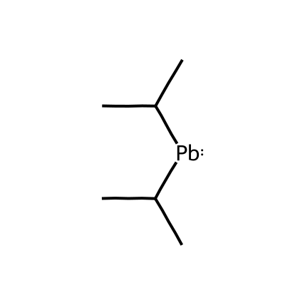 C[CH](C)[Pb][CH](C)C